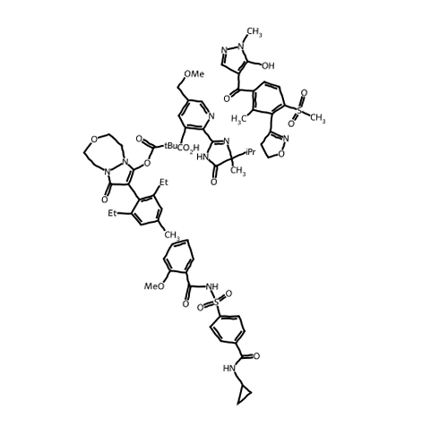 CCc1cc(C)cc(CC)c1-c1c(OC(=O)C(C)(C)C)n2n(c1=O)CCOCC2.COCc1cnc(C2=NC(C)(C(C)C)C(=O)N2)c(C(=O)O)c1.COc1ccccc1C(=O)NS(=O)(=O)c1ccc(C(=O)NC2CC2)cc1.Cc1c(C(=O)c2cnn(C)c2O)ccc(S(C)(=O)=O)c1C1=NOCC1